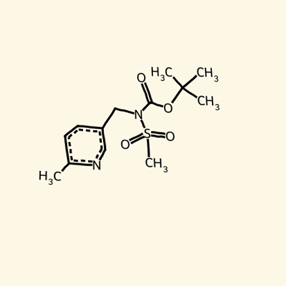 Cc1ccc(CN(C(=O)OC(C)(C)C)S(C)(=O)=O)cn1